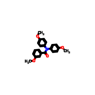 COc1ccc(N(C(=O)c2cccc(OC)c2)c2ccc(OC)cc2)cc1